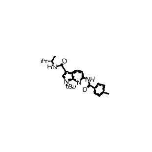 Cc1ccc(C(=O)Nc2ccc3c(C(=O)N[C@H](C)C(C)C)cn(C(C)(C)C)c3n2)cc1